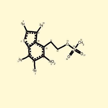 [2H]c1sc2c([2H])c([2H])c([N+](=O)[O-])c(CCOS(C)(=O)=O)c2c1[2H]